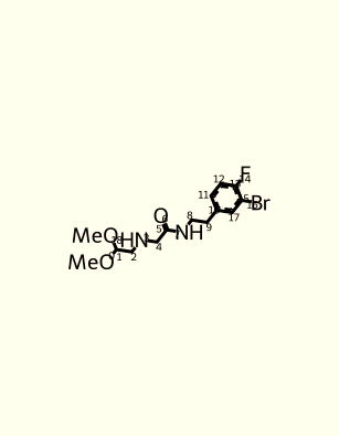 COC(CNCC(=O)NCCc1ccc(F)c(Br)c1)OC